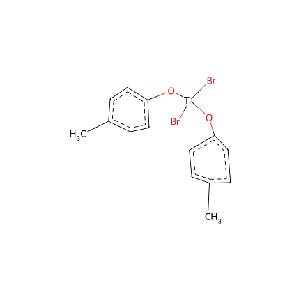 Cc1ccc([O][Ti]([Br])([Br])[O]c2ccc(C)cc2)cc1